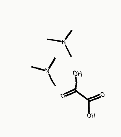 CN(C)C.CN(C)C.O=C(O)C(=O)O